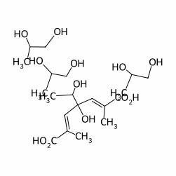 CC(=CC(O)(C=C(C)C(=O)O)C(C)O)C(=O)O.CC(O)CO.CC(O)CO.CC(O)CO